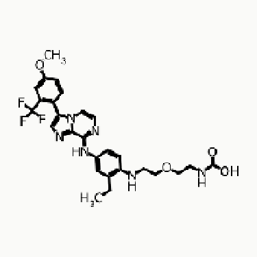 CCc1cc(Nc2nccn3c(-c4ccc(OC)cc4C(F)(F)F)cnc23)ccc1NCCOCCNC(=O)O